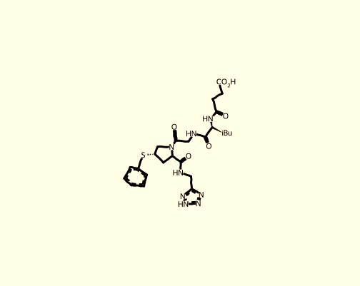 CC[C@H](C)[C@H](NC(=O)CCC(=O)O)C(=O)NCC(=O)N1C[C@@H](Sc2ccccc2)CC1C(=O)NCc1nn[nH]n1